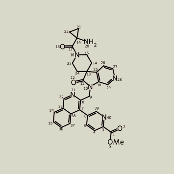 COC(=O)c1ccc(-c2c(CN3C(=O)C4(CCN(C(=O)C5(N)CC5)CC4)c4ccncc43)ncc3ccccc23)cn1